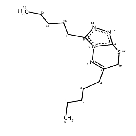 CCCCCC1=Nn2c(CCCCC)nnc2SC1